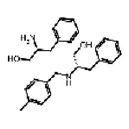 Cc1ccc(CN[C@H](CO)Cc2ccccc2)cc1.N[C@H](CO)Cc1ccccc1